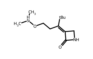 C[SiH](C)OCCC(=C1CNC1=O)C(C)(C)C